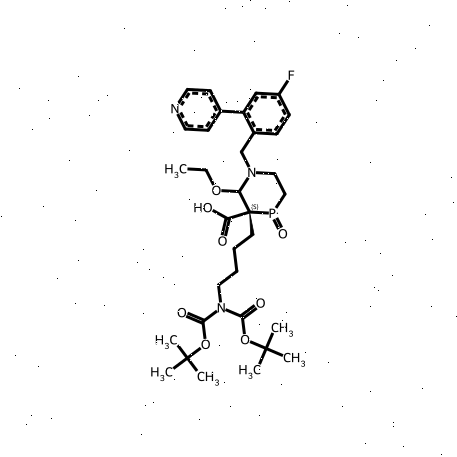 CCOC1N(Cc2ccc(F)cc2-c2ccncc2)CC[P](=O)[C@]1(CCCCN(C(=O)OC(C)(C)C)C(=O)OC(C)(C)C)C(=O)O